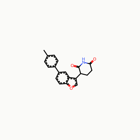 Cc1ccc(-c2ccc3occ(C4CCC(=O)NC4=O)c3c2)cc1